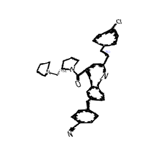 N#Cc1ccc(-c2ccc3nc(/C=C/c4ccc(Cl)cc4)cc(C(=O)N4CCC[C@H]4CN4CCCC4)c3c2)cc1